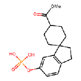 COC(=O)C1CCC2(CCc3ccc(OP(=O)(O)O)cc32)CC1